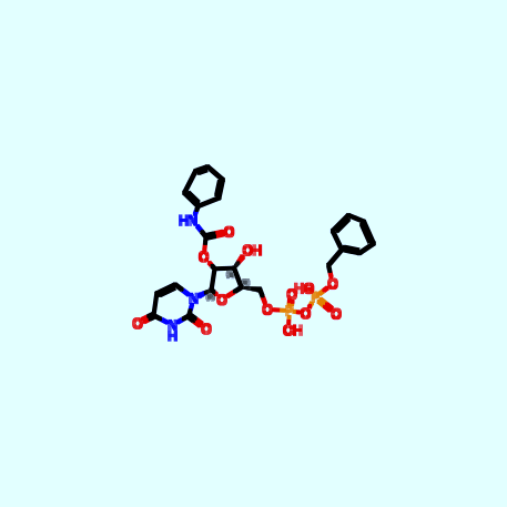 O=C(Nc1ccccc1)OC1[C@@H](O)[C@@H](COP(=O)(O)OP(=O)(O)OCc2ccccc2)O[C@H]1n1ccc(=O)[nH]c1=O